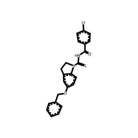 O=C(NC(=S)N1CCc2cc(OCc3ccccc3)ccc21)c1ccc(Cl)cc1